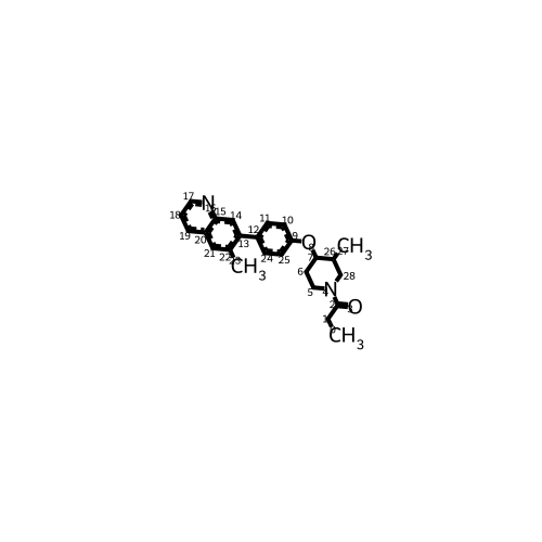 CCC(=O)N1CCC(Oc2ccc(-c3cc4ncccc4cc3C)cc2)C(C)C1